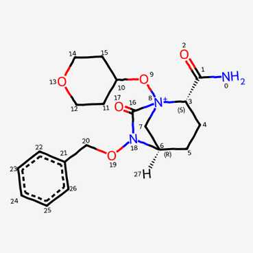 NC(=O)[C@@H]1CC[C@@H]2C[N+]1(OC1CCOCC1)C(=O)N2OCc1ccccc1